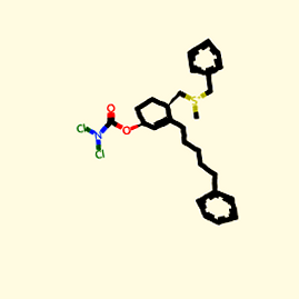 C[S+](Cc1ccccc1)C[C@@H]1CC[C@H](OC(=O)N(Cl)Cl)C=C1CCCCCc1ccccc1